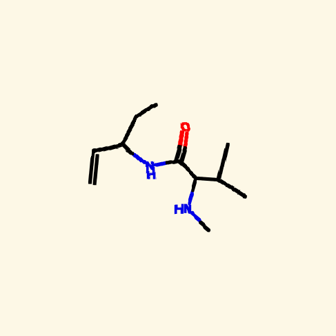 C=CC(CC)NC(=O)C(NC)C(C)C